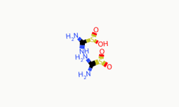 N=C(N)S(=O)O.NC(N)=S(=O)=O